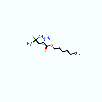 CCCCCCOC(=O)[C@@H](N)CC(C)(C)F